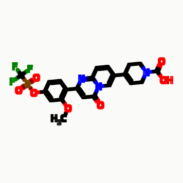 COc1cc(OS(=O)(=O)C(F)(F)F)ccc1-c1cc(=O)n2cc(C3=CCN(C(=O)O)CC3)ccc2n1